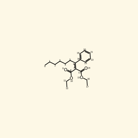 CCCCCCC(=C(C(=O)OCC)C(=O)OCC)c1ccccc1